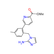 COC(=O)c1ccc(-c2cc(C)ccc2Cn2ccnc2N)cn1